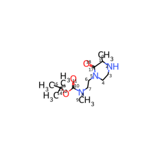 CC1NCCN(CCN(C)C(=O)OC(C)(C)C)C1=O